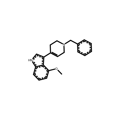 COc1cccc2[nH]cc(C3=CCN(Cc4ccccc4)CC3)c12